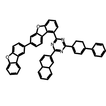 C1=CC2C=CC(c3nc(C4=CC=C(c5ccccc5)CC4)nc(-c4cccc5oc6cc(-c7ccc8oc9ccccc9c8c7)ccc6c45)n3)=CC2C=C1